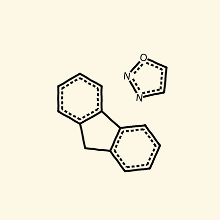 c1ccc2c(c1)Cc1ccccc1-2.c1conn1